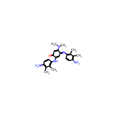 Cc1c(N)ccc(/N=C2\C=C(Nc3ccc(N)c(C)c3C)C(=O)C=C2N(C)C)c1C